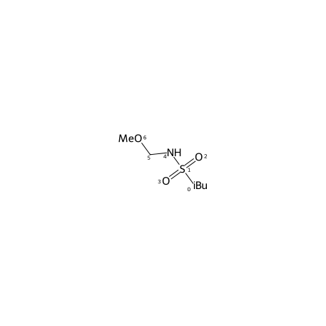 CCC(C)S(=O)(=O)NCOC